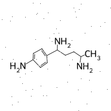 CC(N)CCC(N)c1ccc(N)cc1